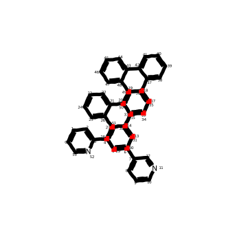 c1ccc(-c2cc(-c3cccnc3)cc(-c3ccccc3-c3ccccc3-c3ccccc3-c3ccc4c5ccccc5c5ccccc5c4c3)c2)nc1